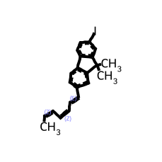 C\C=C/C=C\C=C\c1ccc2c(c1)C(C)(C)c1cc(I)ccc1-2